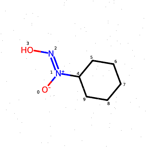 [O-][N+](=NO)C1CCCCC1